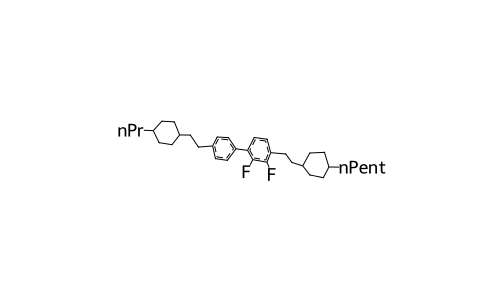 CCCCCC1CCC(CCc2ccc(-c3ccc(CCC4CCC(CCC)CC4)cc3)c(F)c2F)CC1